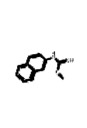 CSC(=N)Nc1ccc2ccccc2c1